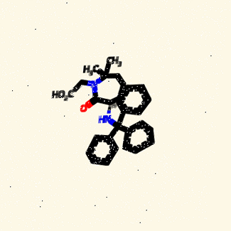 CC1(C)CCC[C@H](NC(c2ccccc2)(c2ccccc2)c2ccccc2)C(=O)N1CC(=O)O